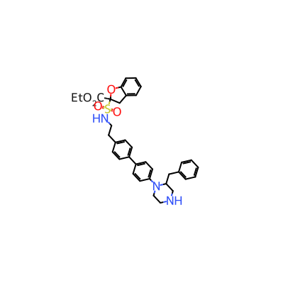 CCOC(=O)C1(S(=O)(=O)NCCc2ccc(-c3ccc(N4CCNCC4Cc4ccccc4)cc3)cc2)Cc2ccccc2O1